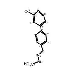 O=C(O)NNCc1ccc(-c2cccc(Cl)c2)cc1